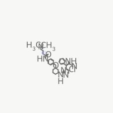 CN(C)C/C=C/C(=O)Nc1ccc(OC2CCCC(Nc3ncc(Cl)c(-c4c(C#N)[nH]c5ccccc45)n3)C2)cc1